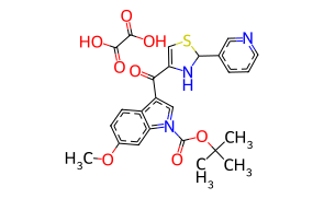 COc1ccc2c(C(=O)C3=CSC(c4cccnc4)N3)cn(C(=O)OC(C)(C)C)c2c1.O=C(O)C(=O)O